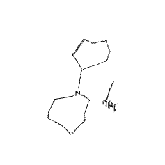 C1CCN(C2CCCC2)CC1.CCCC